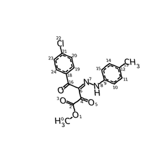 COC(=O)C(=O)C(=NNc1ccc(C)cc1)C(=O)c1ccc(Cl)cc1